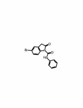 O=C1Cc2cc(Br)ccc2N1C(=O)Nc1ccccc1